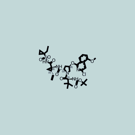 C=C[C@@H]1C[C@]1(NC(=O)[C@@H]1C[C@@H](Oc2nc(Cl)cc3c(OC)cccc23)CN1C(=O)[C@@H](NC(=O)OC(C)(C)C)C(C)(C)C)C(=O)NS(=O)(=O)C1(CC)CC1